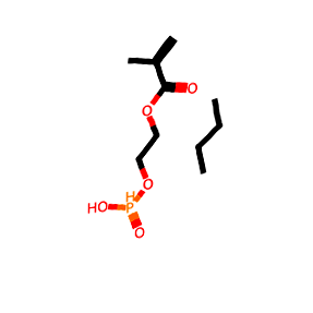 C=C(C)C(=O)OCCO[PH](=O)O.CCCC